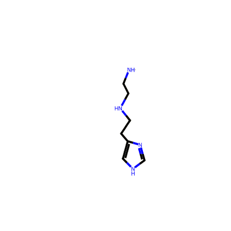 [NH]CCNCCc1c[nH]cn1